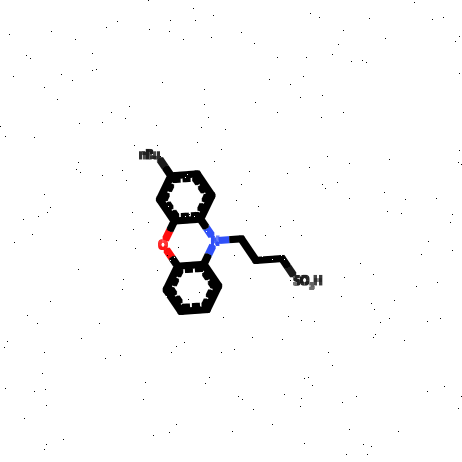 CCCCc1ccc2c(c1)Oc1ccccc1N2CCCS(=O)(=O)O